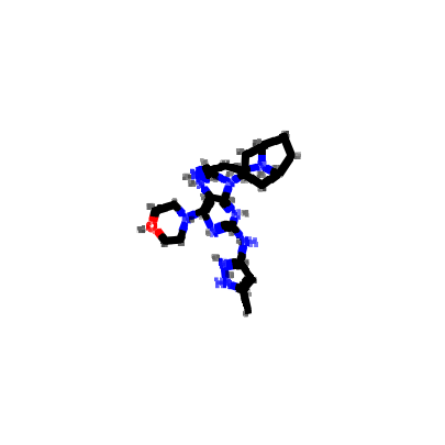 Cc1cc(Nc2nc(N3CCOCC3)c3ncn(C4CC5CCC(C4)N5CCC#N)c3n2)n[nH]1